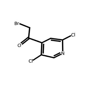 O=C(CBr)c1cc(Cl)ncc1Cl